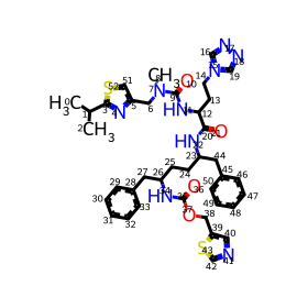 CC(C)c1nc(CN(C)C(=O)NC(CCn2cnnc2)C(=O)NC(CCC(Cc2ccccc2)NC(=O)OCc2cncs2)Cc2ccccc2)cs1